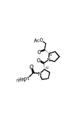 CCCCCCCC(=O)N1CCC[C@H]1C(=O)N1CCC[C@H]1C(=O)COC(C)=O